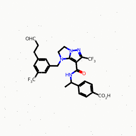 CC(NC(=O)c1c(C(F)(F)F)nn2c1N(Cc1cc(CCC=O)cc(C(F)(F)F)c1)CC2)c1ccc(C(=O)O)cc1